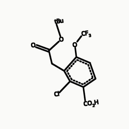 CC(C)(C)OC(=O)Cc1c(OC(F)(F)F)ccc(C(=O)O)c1Cl